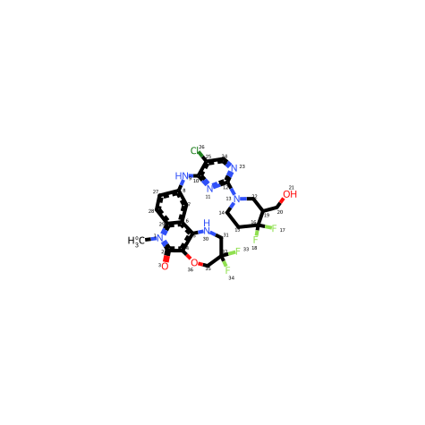 Cn1c(=O)c2c(c3cc(Nc4nc(N5CCC(F)(F)C(CO)C5)ncc4Cl)ccc31)NCC(F)(F)CO2